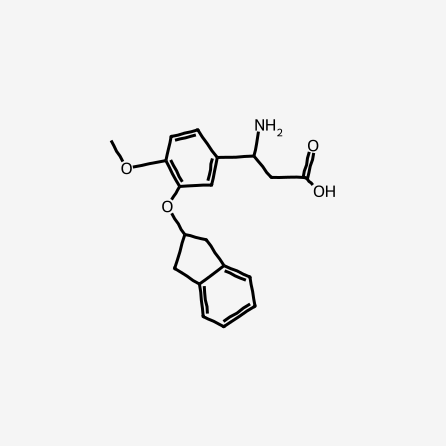 COc1ccc(C(N)CC(=O)O)cc1OC1Cc2ccccc2C1